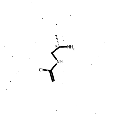 C=C(Cl)NC[C@H](C)N